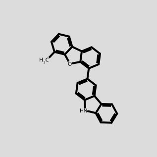 Cc1cccc2c1oc1c(-c3ccc4[nH]c5ccccc5c4c3)cccc12